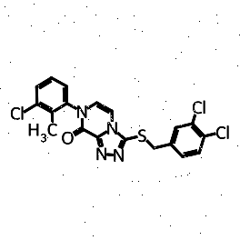 Cc1c(Cl)cccc1-n1ccn2c(SCc3ccc(Cl)c(Cl)c3)nnc2c1=O